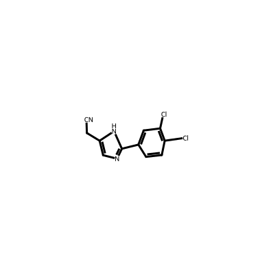 N#CCc1cnc(-c2ccc(Cl)c(Cl)c2)[nH]1